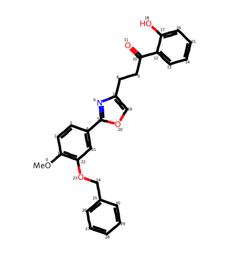 COc1ccc(-c2nc(CCC(=O)c3ccccc3O)co2)cc1OCc1ccccc1